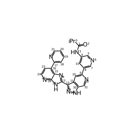 CC(C)C(=O)Nc1cncc(-c2cc3c(-c4nc5c(-c6ccccn6)ccnc5[nH]4)n[nH]c3cn2)c1